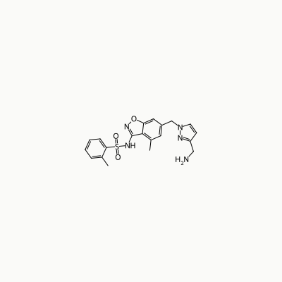 Cc1ccccc1S(=O)(=O)Nc1noc2cc(Cn3ccc(CN)n3)cc(C)c12